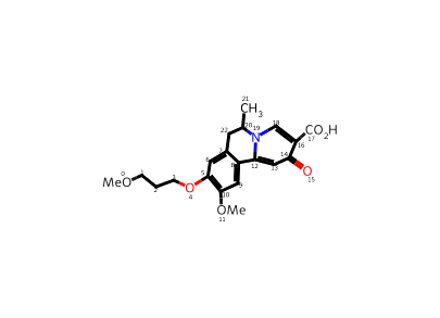 COCCCOc1cc2c(cc1OC)-c1cc(=O)c(C(=O)O)cn1C(C)C2